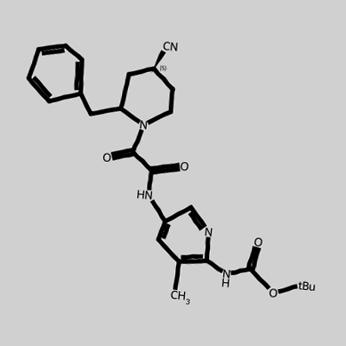 Cc1cc(NC(=O)C(=O)N2CC[C@H](C#N)CC2Cc2ccccc2)cnc1NC(=O)OC(C)(C)C